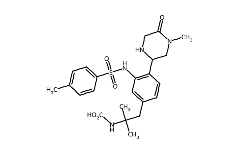 Cc1ccc(S(=O)(=O)Nc2cc(CC(C)(C)NC(=O)O)ccc2C2CN(C)C(=O)CN2)cc1